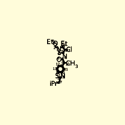 CCOCN1SC(=NC(=O)C(C)c2ccc3sc(CC(C)C)nc3c2)C(Cl)C1CC